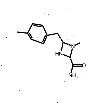 Cc1ccc(CC2NC(C(N)=O)N2C)cc1